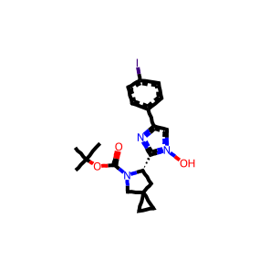 CC(C)(C)OC(=O)N1CC2(CC2)C[C@H]1c1nc(-c2ccc(I)cc2)cn1O